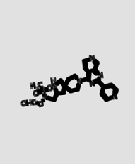 CS(=O)(=O)N(CC1CC2(CCN(c3nc(-c4ccncc4)nc4cnccc34)CC2)CN1)OC=O